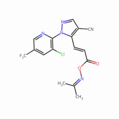 CC(C)=NOC(=O)C=Cc1c(C#N)cnn1-c1ncc(C(F)(F)F)cc1Cl